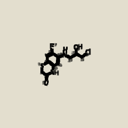 O=C1CSc2cc(F)c(NCC(O)CCl)cc2N1